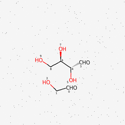 O=CCO.O=C[C@H](O)[C@H](O)CO